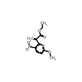 C=C(C(=O)OCC)c1nc(OC)ccc1[N+](=O)[O-]